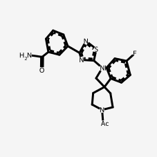 CC(=O)N1CCC(CNc2nc(-c3cccc(C(N)=O)c3)ns2)(c2ccc(F)cc2)CC1